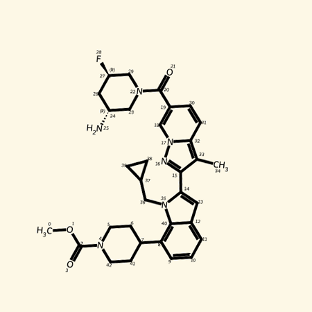 COC(=O)N1CCC(c2cccc3cc(-c4nn5cc(C(=O)N6C[C@H](N)C[C@@H](F)C6)ccc5c4C)n(CC4CC4)c23)CC1